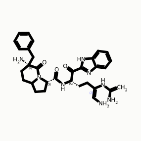 C=C(N)N/C(=C\N)CC[C@H](NC(=O)[C@@H]1CCC2CC[C@@](N)(Cc3ccccc3)C(=O)N21)C(=O)c1nc2ccccc2[nH]1